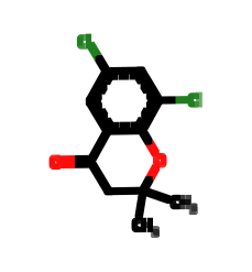 CC1(C)CC(=O)c2cc(Cl)cc(Cl)c2O1